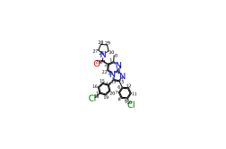 Cc1nc2nc(-c3ccc(Cl)cc3)c(-c3ccc(Cl)cc3)n2cc1C(=O)N1CCCC1